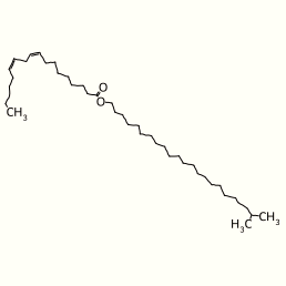 CCCCC/C=C\C/C=C\CCCCCCCC(=O)OCCCCCCCCCCCCCCCCCCCCCC(C)C